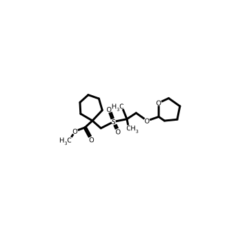 COC(=O)C1(CS(=O)(=O)C(C)(C)COC2CCCCO2)CCCCC1